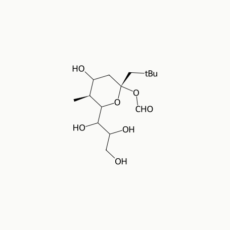 C[C@H]1C(O)C[C@](CC(C)(C)C)(OC=O)OC1C(O)C(O)CO